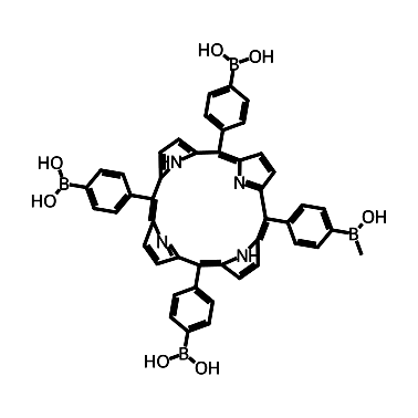 CB(O)c1ccc(-c2c3nc(c(-c4ccc(B(O)O)cc4)c4ccc([nH]4)c(-c4ccc(B(O)O)cc4)c4nc(c(-c5ccc(B(O)O)cc5)c5ccc2[nH]5)C=C4)C=C3)cc1